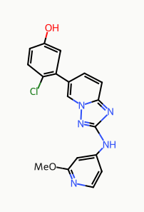 COc1cc(Nc2nc3ccc(-c4cc(O)ccc4Cl)cn3n2)ccn1